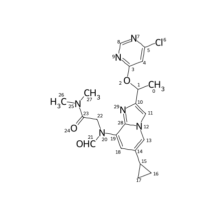 CC(Oc1cc(Cl)ncn1)c1cn2cc(C3CC3)cc(N(C=O)CC(=O)N(C)C)c2n1